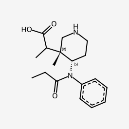 CCC(=O)N(c1ccccc1)[C@H]1CCNC[C@@]1(C)C(C)C(=O)O